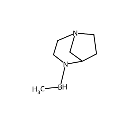 CBN1CCN2CCC1C2